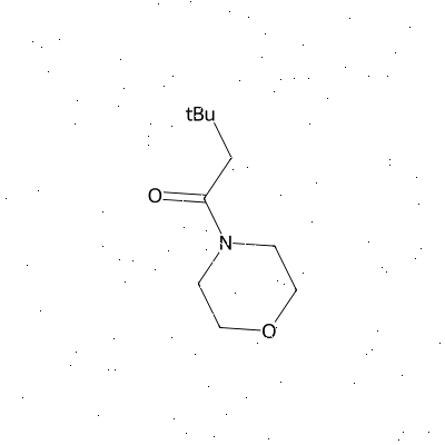 [CH2]C(C)(C)CC(=O)N1CCOCC1